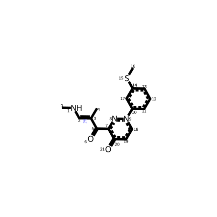 CN/C=C(\C)C(=O)c1nn(-c2cccc(SC)c2)ccc1=O